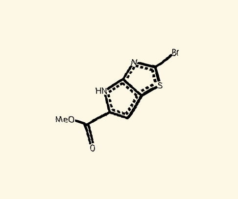 COC(=O)c1cc2sc(Br)nc2[nH]1